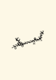 CSC(=O)OC[C@H](COC(=O)NCCOCCOCCNC(=O)OCCC(C)(C)OCCOC(C)(C)C)OC(=O)C(C)CC(C)C